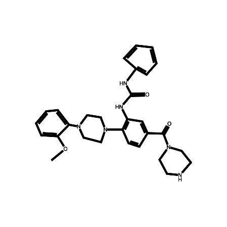 COc1ccccc1N1CCN(c2ccc(C(=O)N3CCNCC3)cc2NC(=O)Nc2ccccc2)CC1